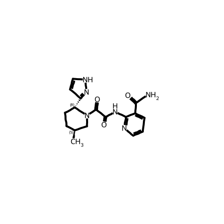 C[C@H]1CC[C@H](c2cc[nH]n2)N(C(=O)C(=O)Nc2ncccc2C(N)=O)C1